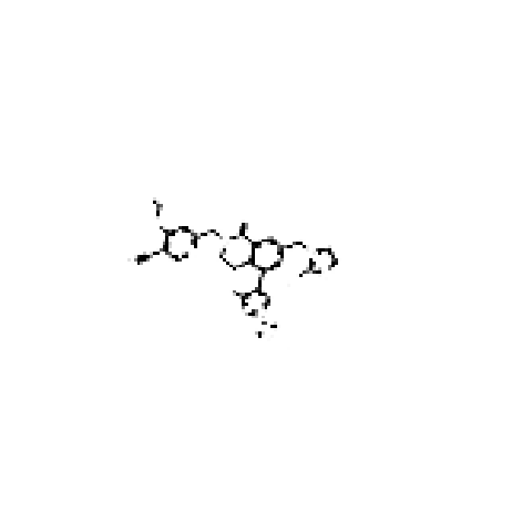 CCOc1cc(CN2CCc3c(cc(Cn4ccnc4C)cc3-c3cn(S(C)(=O)=O)nc3C)C2=O)ncc1C#N